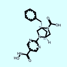 O=C(NO)c1cnc(N2C[C@]3(Cc4ccccc4)C[C@H]2CN3C(=O)O)nc1